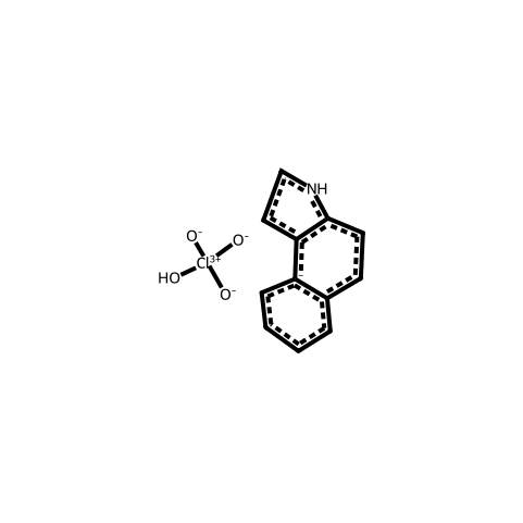 [O-][Cl+3]([O-])([O-])O.c1ccc2c(c1)ccc1[nH]ccc12